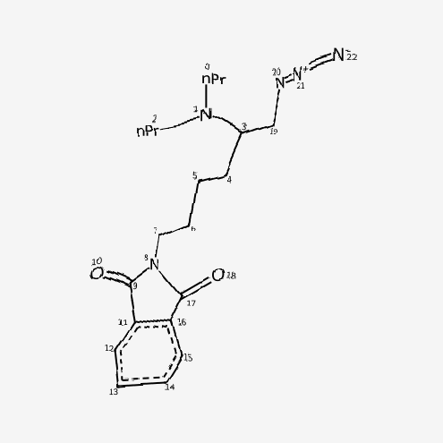 CCCN(CCC)C(CCCCN1C(=O)c2ccccc2C1=O)CN=[N+]=[N-]